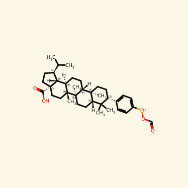 CC(C)[C@@H]1CC[C@]2(C(=O)O)CC[C@]3(C)[C@H](CC[C@@H]4[C@@]5(C)CC[C@H](c6ccc(POC=O)cc6)C(C)(C)[C@@H]5CC[C@]43C)[C@@H]12